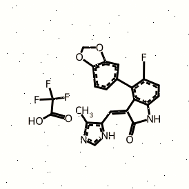 Cc1nc[nH]c1C=C1C(=O)Nc2ccc(F)c(-c3ccc4c(c3)OCO4)c21.O=C(O)C(F)(F)F